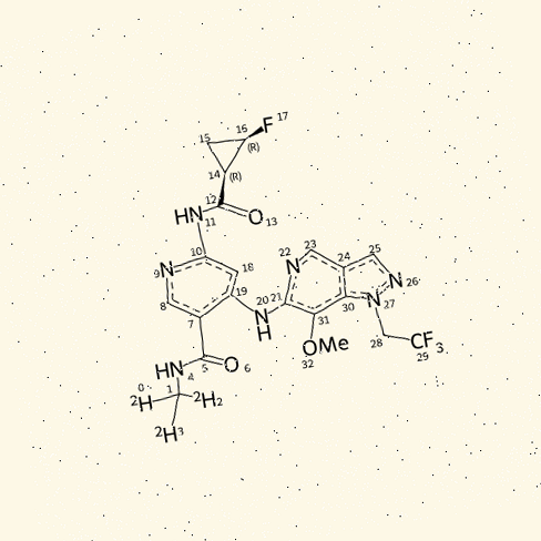 [2H]C([2H])([2H])NC(=O)c1cnc(NC(=O)[C@H]2C[C@H]2F)cc1Nc1ncc2cnn(CC(F)(F)F)c2c1OC